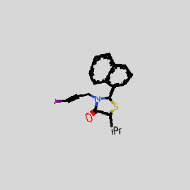 CC(C)C1SC(c2cccc3ccccc23)N(CC#CI)C1=O